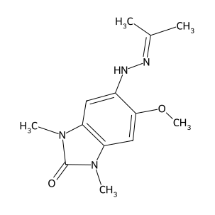 COc1cc2c(cc1NN=C(C)C)n(C)c(=O)n2C